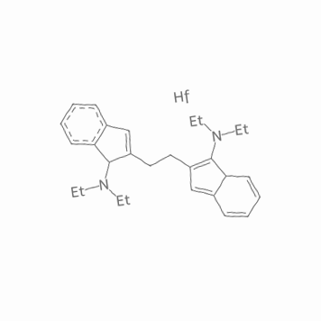 CCN(CC)C1=C(CCC2=Cc3ccccc3C2N(CC)CC)C=C2C=CC=CC21.[Hf]